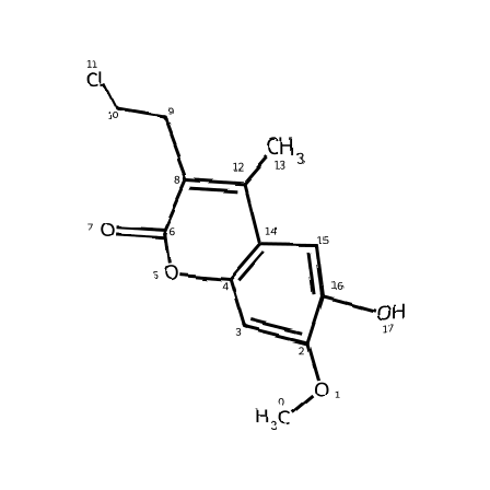 COc1cc2oc(=O)c(CCCl)c(C)c2cc1O